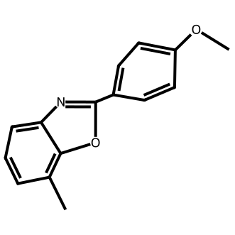 COc1ccc(-c2nc3cccc(C)c3o2)cc1